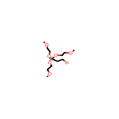 COCCO[Si](CCBr)(OCCOC)OCCOC